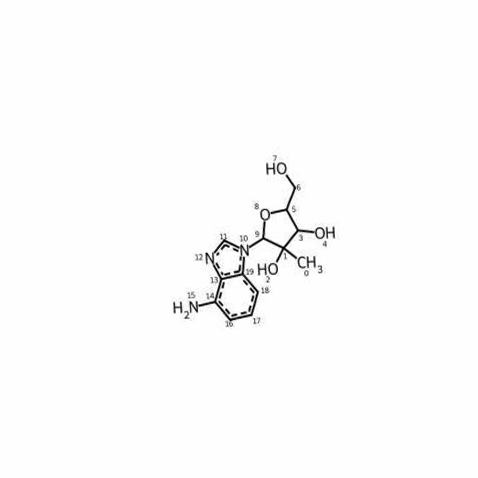 CC1(O)C(O)C(CO)OC1n1cnc2c(N)cccc21